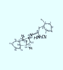 Cc1ccccc1CC(=N[C@@H]1C[C@@H]2C[C@@H]1c1ccccc12)NC#N